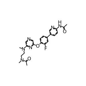 CC(=O)Nc1ccc(-c2ccc(Oc3cncc(N(C)CCN(C)C(C)=O)n3)c(F)c2)cn1